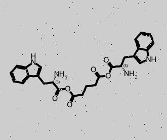 N[C@@H](Cc1c[nH]c2ccccc12)C(=O)OC(=O)CCCC(=O)OC(=O)[C@@H](N)Cc1c[nH]c2ccccc12